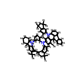 Cc1cc2c3cc1N1c4cc(ccc4B4c5cc6c(cc5N5c7cccc8c7C(C)(c7ccccc7-8)c7c(C)cc1c4c75)C(C)(C)CC6(C)C)N1c4cc(c(C(C)(C)C)cc4C4(C)CCCCC14C)C3(C)CCC2(C)C